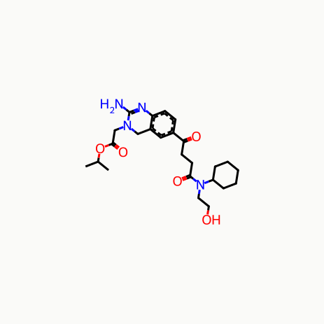 CC(C)OC(=O)CN1Cc2cc(C(=O)CCC(=O)N(CCO)C3CCCCC3)ccc2N=C1N